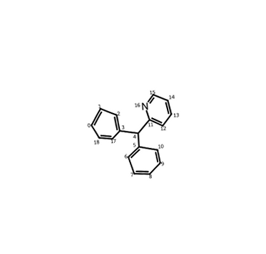 c1ccc(C(c2ccccc2)c2ccccn2)cc1